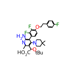 Cc1nc(N)c(-c2ccc(OCCc3ccc(F)cc3)c(F)c2F)c(N2CCC(C)(C)CC2)c1C(OC(C)(C)C)C(=O)O